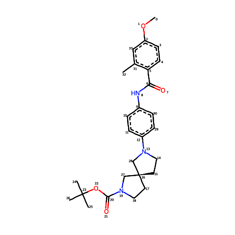 COc1ccc(C(=O)Nc2ccc(N3CC[C@]4(CCN(C(=O)OC(C)(C)C)C4)C3)cc2)c(C)c1